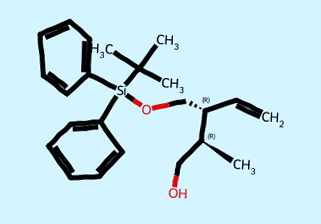 C=C[C@@H](CO[Si](c1ccccc1)(c1ccccc1)C(C)(C)C)[C@@H](C)CO